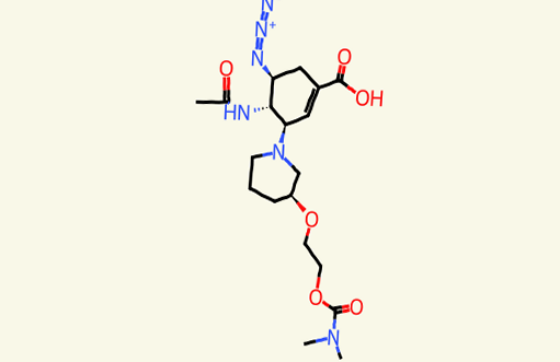 CC(=O)N[C@@H]1[C@@H](N=[N+]=[N-])CC(C(=O)O)=C[C@H]1N1CCC[C@H](OCCOC(=O)N(C)C)C1